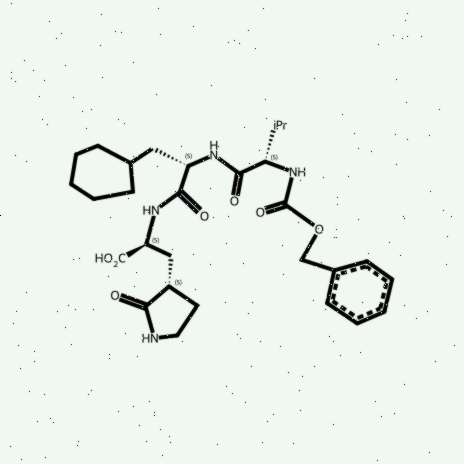 CC(C)[C@H](NC(=O)OCc1ccccc1)C(=O)N[C@@H](CC1CCCCC1)C(=O)N[C@@H](C[C@@H]1CCNC1=O)C(=O)O